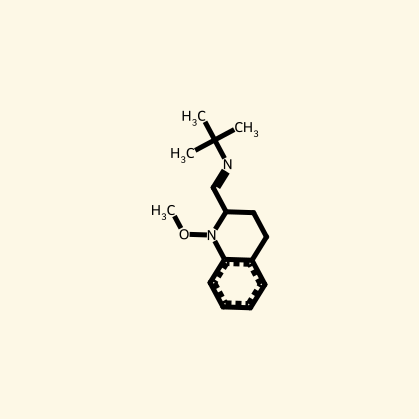 CON1c2ccccc2CCC1C=NC(C)(C)C